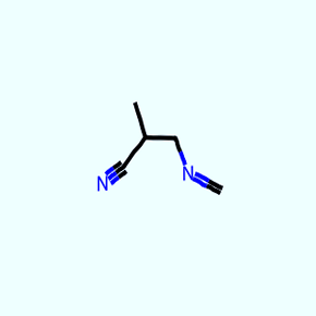 C=NCC(C)C#N